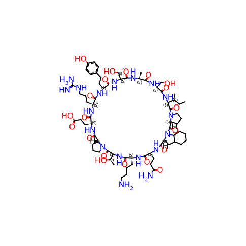 CC[C@H](C)[C@@H]1NC(=O)[C@H](CO)NC(=O)[C@H](C)NC(=O)[C@H]([C@@H](C)O)NC(=O)[C@H](CCc2ccc(O)cc2)NC(=O)[C@H](CCCNC(=N)N)NC(=O)[C@H](CCC(=O)O)NC(=O)[C@H]2CCCN2C(=O)[C@H]([C@@H](C)O)NC(=O)[C@H](CCCCN)NC(=O)[C@H](CCC(N)=O)NC(=O)[C@@H]2CC3CCCCC3N2C(=O)[C@@H]2CCCN2C1=O